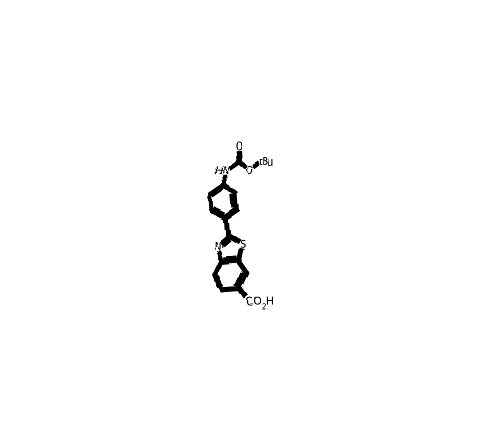 CC(C)(C)OC(=O)Nc1ccc(-c2nc3ccc(C(=O)O)cc3s2)cc1